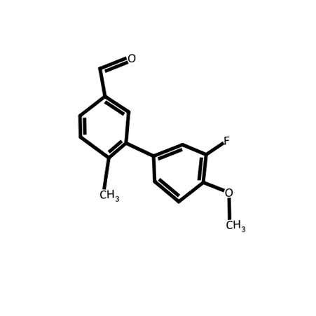 COc1ccc(-c2cc(C=O)ccc2C)cc1F